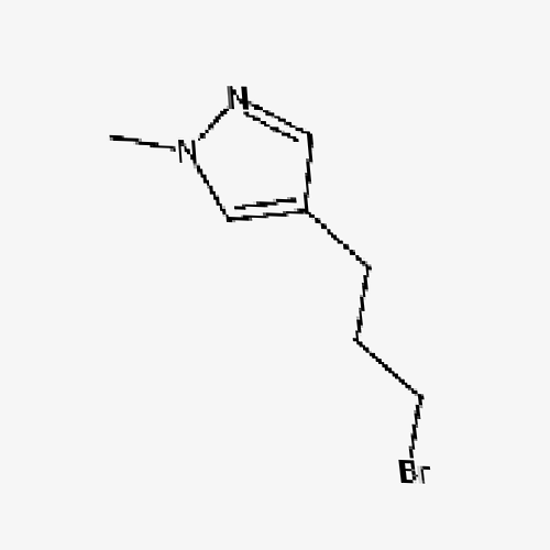 Cn1cc(CCCBr)cn1